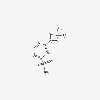 CC1(O)CN(c2cccc(S(N)(=O)=O)n2)C1